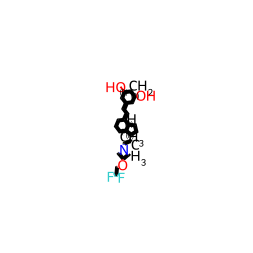 C=C1[C@H](O)CC(=CC=C2CCC[C@]3(C)[C@@H](C(C)CN4CC(OCC(F)F)C4)CC[C@@H]23)C[C@H]1O